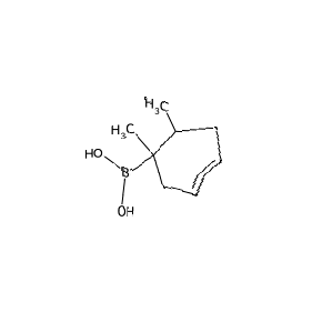 CC1CC=CCC1(C)B(O)O